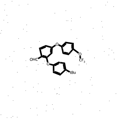 CC(C)(C)c1ccc(Oc2cc(Oc3ccc(OC(F)(F)F)cc3)ccc2C=O)cc1